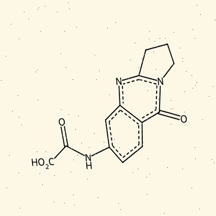 O=C(O)C(=O)Nc1ccc2c(=O)n3c(nc2c1)CCC3